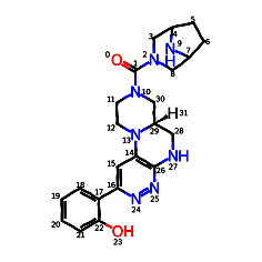 O=C(N1CC2CCC(C1)N2)N1CCN2c3cc(-c4ccccc4O)nnc3NC[C@H]2C1